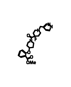 COC(=O)c1ccccc1OC1CCN(C(=O)C2(F)CCN(Cc3ccnnc3)CC2)CC1